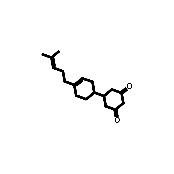 CC(C)=CCCC1=CCC(C2CC(=O)CC(=O)C2)CC1